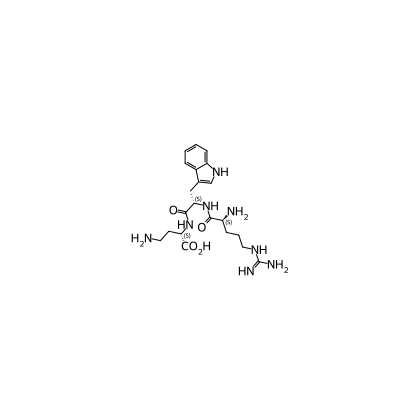 N=C(N)NCCC[C@H](N)C(=O)N[C@@H](Cc1c[nH]c2ccccc12)C(=O)N[C@@H](CCN)C(=O)O